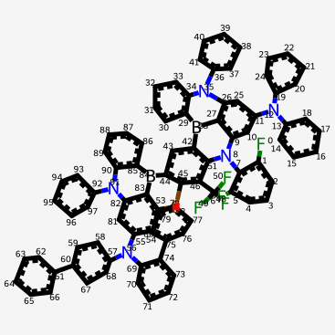 Fc1cccc(F)c1N1c2cc(N(c3ccccc3)c3ccccc3)cc3c2B(c2ccccc2N3c2ccccc2)c2cc3c(c(C(F)(F)F)c21)Sc1cc(N(c2ccc(-c4ccccc4)cc2)c2ccccc2-c2ccccc2)cc2c1B3c1ccccc1N2c1ccccc1